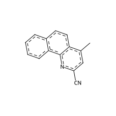 Cc1cc(C#N)nc2c1ccc1ccccc12